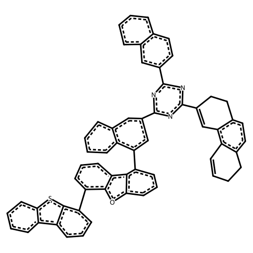 C1=Cc2c(ccc3c2C=C(c2nc(-c4ccc5ccccc5c4)nc(-c4cc(-c5cccc6oc7c(-c8cccc9c8sc8ccccc89)cccc7c56)c5ccccc5c4)n2)CC3)CC1